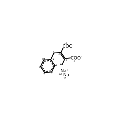 CC(C(=O)[O-])=C(Cc1ccccc1)C(=O)[O-].[Na+].[Na+]